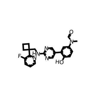 CN(C=O)c1ccc(O)c(-c2cnc(NCC3(c4ncccc4F)CCC3)nc2)c1